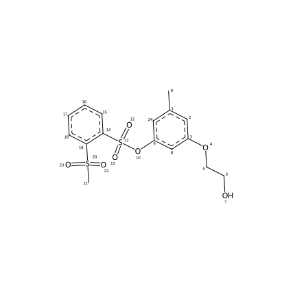 Cc1cc(OCCO)cc(OS(=O)(=O)c2ccccc2S(C)(=O)=O)c1